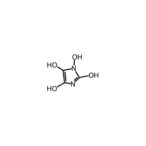 Oc1nc(O)n(O)c1O